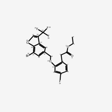 CCOC(=O)Cc1ccc(F)cc1OCc1cc(Br)c2occ(C(F)(F)F)c2c1